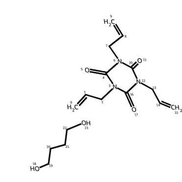 C=CCn1c(=O)n(CC=C)c(=O)n(CC=C)c1=O.OCCCCO